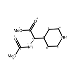 COC(=O)N[C@H](C(=O)OC)C1CCNCC1